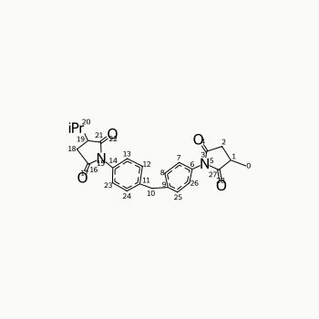 CC1CC(=O)N(c2ccc(Cc3ccc(N4C(=O)CC(C(C)C)C4=O)cc3)cc2)C1=O